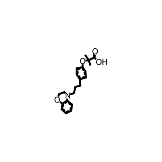 CC(C)(Oc1ccc(CCCN2CCOc3ccccc32)cc1)C(=O)O